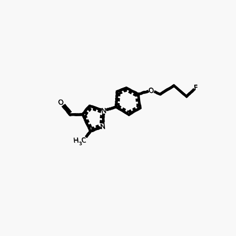 Cc1nn(-c2ccc(OCCCF)cc2)cc1C=O